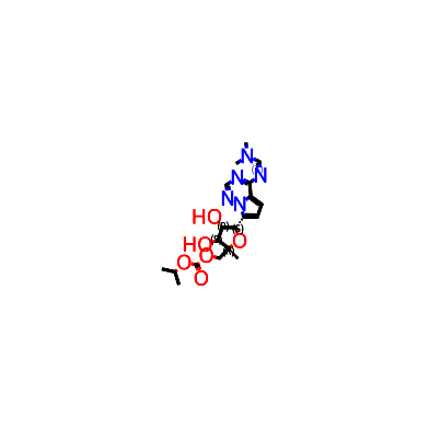 CC(C)OC(=O)OC[C@@]1(C)O[C@@H](c2ccc3c(/N=C\N(C)C)ncnn23)[C@H](O)[C@@H]1O